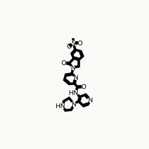 CS(=O)(=O)c1ccc2c(c1)C(=O)N(c1cccc(C(=O)Nc3cnccc3N3CCNCC3)n1)C2